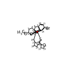 COC1CCC2(CC1)Cc1ccc(Br)cc1C21N=C(SCC2CCO2)N(CC2CCO2)C1=O